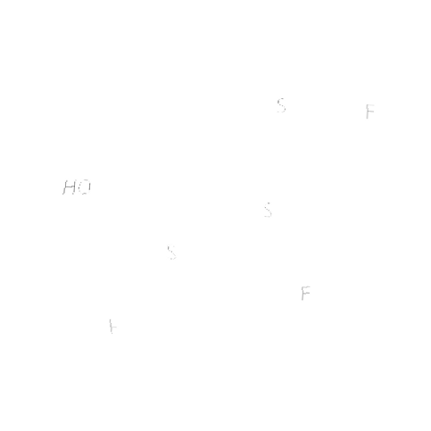 Oc1ccc(SCF)c(SCF)c1SCF